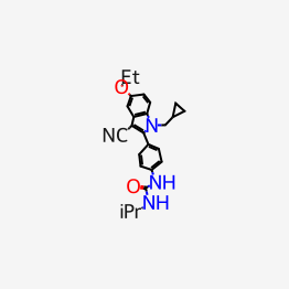 CCOc1ccc2c(c1)c(C#N)c(-c1ccc(NC(=O)NC(C)C)cc1)n2CC1CC1